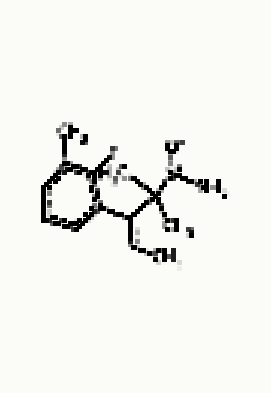 CC=C(c1cccc(C)c1F)C(C)(C)[S+](N)[O-]